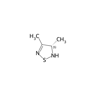 CC1=NSN[C@H]1C